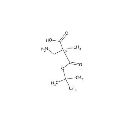 CC(C)(C)OC(=O)[C@@](C)(CN)C(=O)O